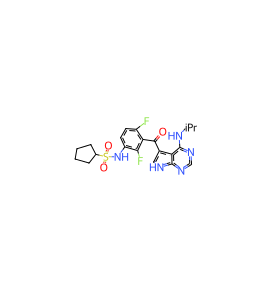 CC(C)Nc1ncnc2[nH]cc(C(=O)c3c(F)ccc(NS(=O)(=O)C4CCCC4)c3F)c12